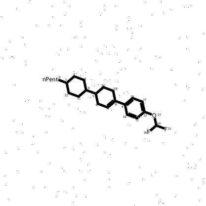 CCCCCC1CCC(C2CC=C(c3ccc(OC(F)F)cc3)CC2)CC1